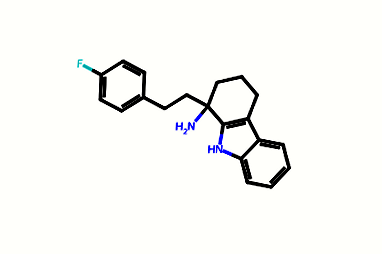 NC1(CCc2ccc(F)cc2)CCCc2c1[nH]c1ccccc21